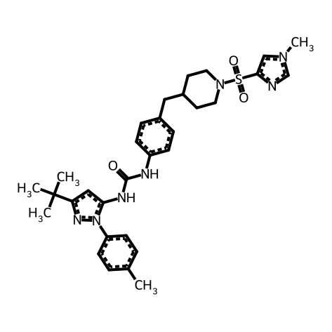 Cc1ccc(-n2nc(C(C)(C)C)cc2NC(=O)Nc2ccc(CC3CCN(S(=O)(=O)c4cn(C)cn4)CC3)cc2)cc1